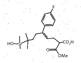 COC(=O)C(C/C=C(/CCC(C)(C)[Si](C)(C)O)c1ccc(F)cc1)C(=O)O